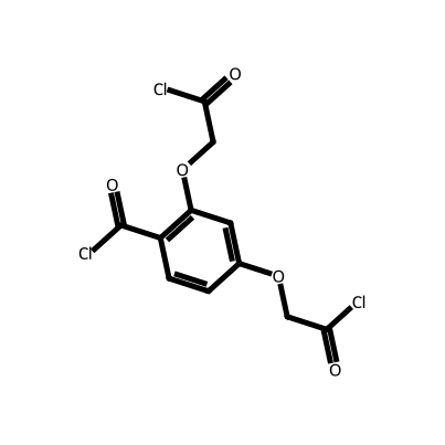 O=C(Cl)COc1ccc(C(=O)Cl)c(OCC(=O)Cl)c1